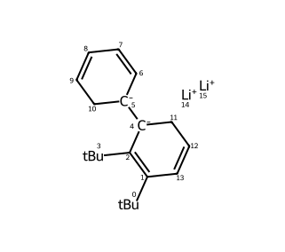 CC(C)(C)C1=C(C(C)(C)C)[C-]([C-]2C=CC=CC2)CC=C1.[Li+].[Li+]